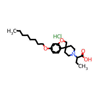 CCCCCCCCOc1ccc2c(c1)OCC21CCN(C(CC)C(=O)O)CC1.Cl